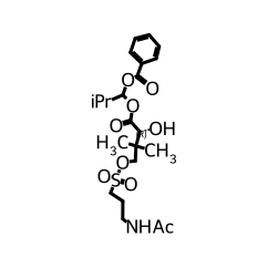 CC(=O)NCCCS(=O)(=O)OCC(C)(C)[C@@H](O)C(=O)OC(OC(=O)c1ccccc1)C(C)C